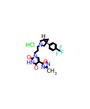 Cc1noc(-c2cn(CCCN3C[C@@H]4C[C@]4(c4ccc(C(F)(F)F)cc4)C3)c(=O)[nH]c2=O)n1.Cl